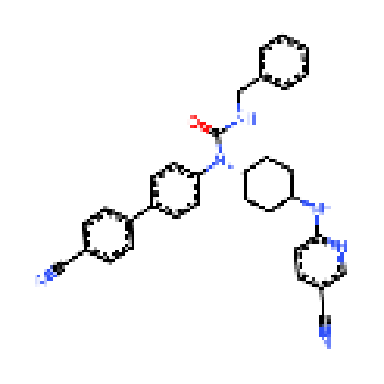 N#Cc1ccc(-c2ccc(N(C(=O)NCc3ccccc3)[C@H]3CC[C@H](Nc4ccc(C#N)cn4)CC3)cc2)cc1